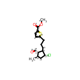 COC(=O)c1ccc(CCCC2[C@H](Cl)C[C@@H](C)[C@@H]2C=O)s1